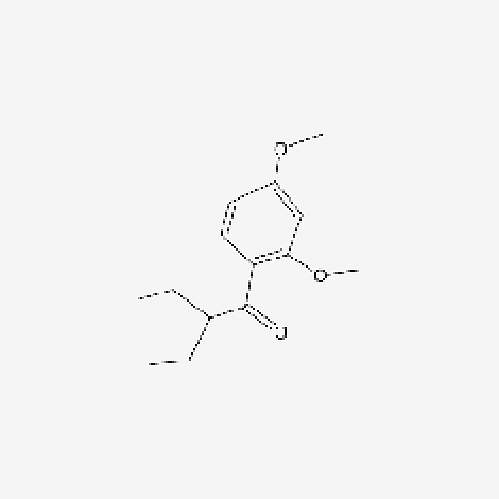 CCC(CC)C(=O)c1ccc(OC)cc1OC